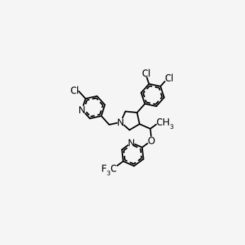 CC(Oc1ccc(C(F)(F)F)cn1)C1CN(Cc2ccc(Cl)nc2)CC1c1ccc(Cl)c(Cl)c1